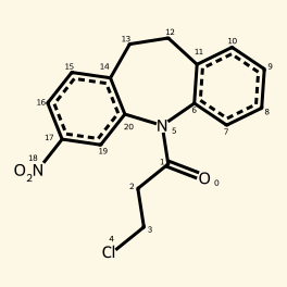 O=C(CCCl)N1c2ccccc2CCc2ccc([N+](=O)[O-])cc21